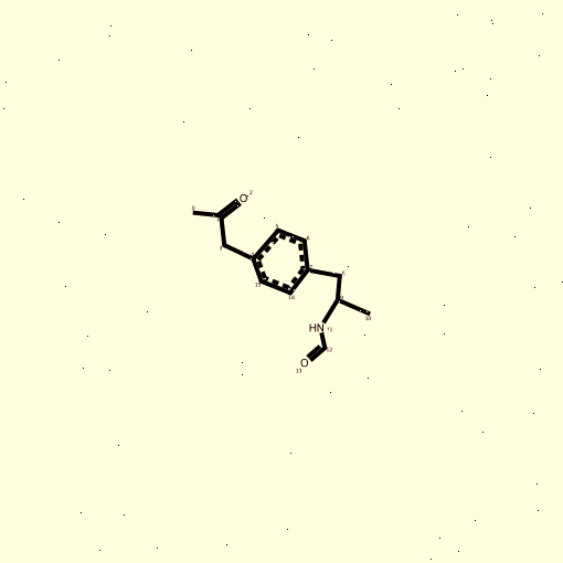 CC(=O)Cc1ccc(CC(C)NC=O)cc1